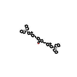 CCC1(CC)c2cc(/C=C/c3ccc4c(c3)C(C)(C)c3cc(N(c5ccc6ccccc6n5)c5ccc6ccccc6n5)ccc3-4)ccc2-c2ccc(/C=C/c3ccc4c(c3)C(C)(C)c3cc(N(c5ccc6ccccc6n5)c5ccc6ccccc6n5)ccc3-4)cc21